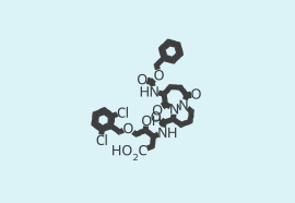 O=C(O)CC(NC(=O)C1CCCN2C(=O)CCC(NC(=O)OCc3ccccc3)C(=O)N12)C(O)COCc1c(Cl)cccc1Cl